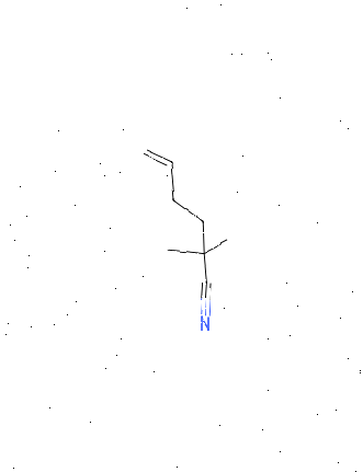 C=CCCC(C)(C)C#N